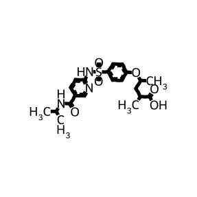 CC(C)NC(=O)c1ccc(NS(=O)(=O)c2ccc(OC(C)CC(C)C(=O)O)cc2)nc1